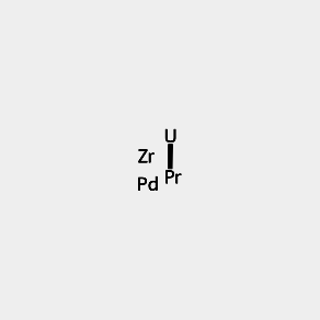 [Pd].[Pr][U].[Zr]